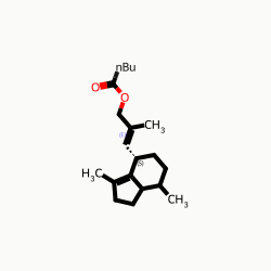 CCCCC(=O)OC/C(C)=C/[C@@H]1CCC(C)C2CCC(C)=C21